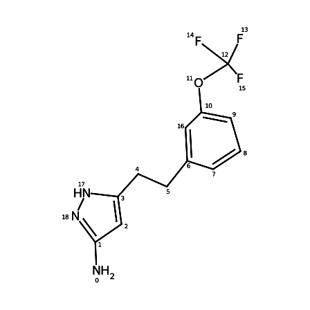 Nc1cc(CCc2cccc(OC(F)(F)F)c2)[nH]n1